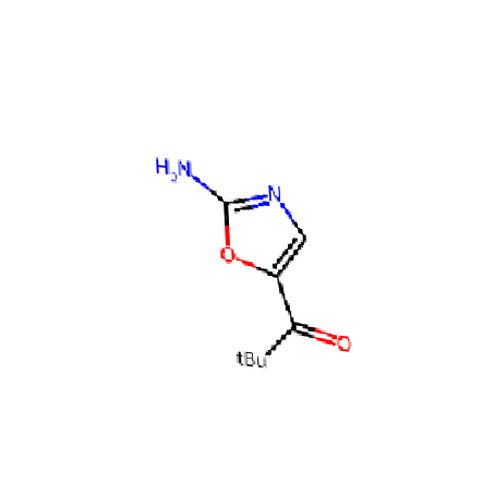 CC(C)(C)C(=O)c1cnc(N)o1